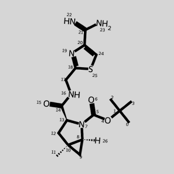 CC(C)(C)OC(=O)N1[C@H]2C[C@@]2(C)C[C@H]1C(=O)NCc1nc(C(=N)N)cs1